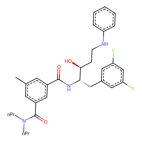 CCCN(CCC)C(=O)c1cc(C)cc(C(=O)N[C@@H](Cc2cc(F)cc(F)c2)[C@@H](O)CCNc2ccccc2)c1